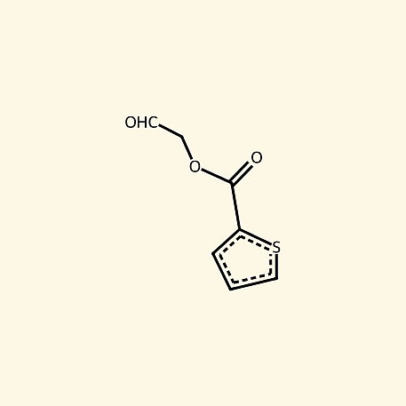 O=CCOC(=O)c1cccs1